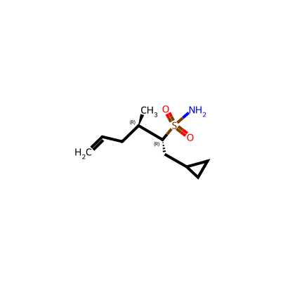 C=CC[C@@H](C)[C@@H](CC1CC1)S(N)(=O)=O